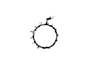 O=CC1CCCCCCCCCCOCC1